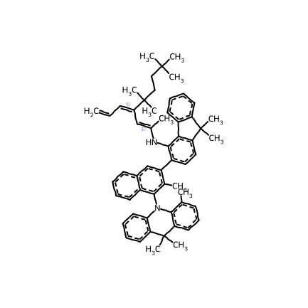 C=C/C=C(\C=C(/C)Nc1c(-c2cc3ccccc3c(N3c4ccccc4C(C)(C)c4cccc(C)c43)c2C)ccc2c1-c1ccccc1C2(C)C)C(C)(C)CCC(C)(C)C